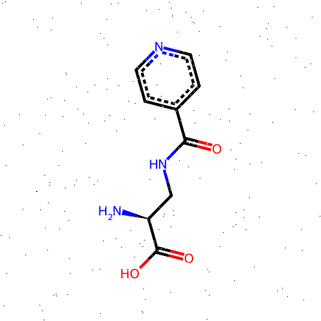 N[C@@H](CNC(=O)c1ccncc1)C(=O)O